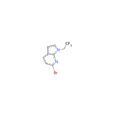 FC(F)(F)Cn1ccc2ccc(Br)nc21